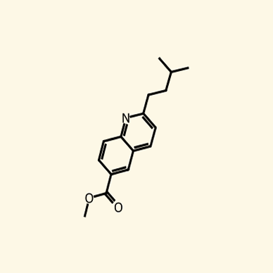 COC(=O)c1ccc2nc(CCC(C)C)ccc2c1